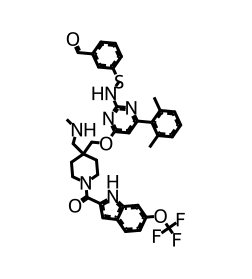 CNCC1(COc2cc(-c3c(C)cccc3C)nc(NSc3cccc(C=O)c3)n2)CCN(C(=O)c2cc3ccc(OC(F)(F)F)cc3[nH]2)CC1